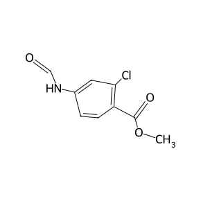 COC(=O)c1ccc(NC=O)cc1Cl